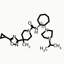 CC(C)N1CCN([C@H]2CCCCC[C@@H]2NC(=O)N2CCC(C)(c3noc(C4CC4)n3)CC2)CC1